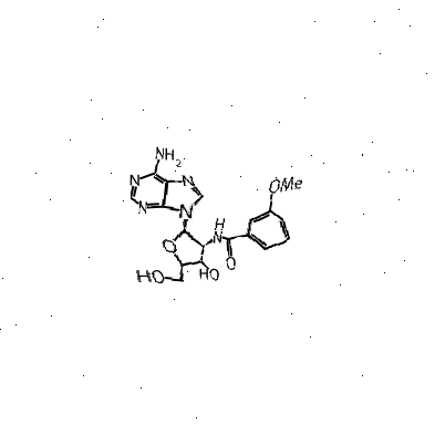 COc1cccc(C(=O)N[C@H]2C(O)[C@@H](CO)O[C@H]2n2cnc3c(N)ncnc32)c1